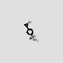 CC(=O)C1CC1c1ccc(S(N)(=O)=O)cc1